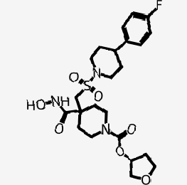 O=C(O[C@H]1CCOC1)N1CCC(CS(=O)(=O)N2CCC(c3ccc(F)cc3)CC2)(C(=O)NO)CC1